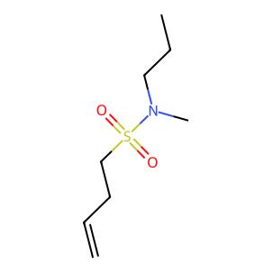 C=CCCS(=O)(=O)N(C)CCC